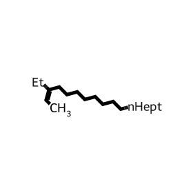 CC=C(CC)CCCCCCCCCCCCCCC